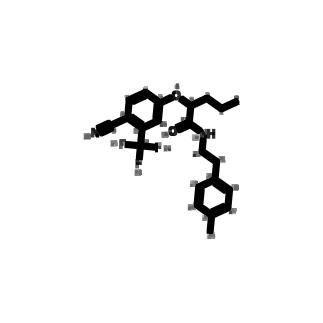 CCCC(Oc1ccc(C#N)c(C(F)(F)F)c1)C(=O)NCCc1ccc(C)cc1